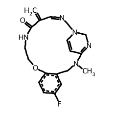 C=C1/C=N\N2C=CC(=NC2)N(C)Cc2cc(F)ccc2OCCNC1=O